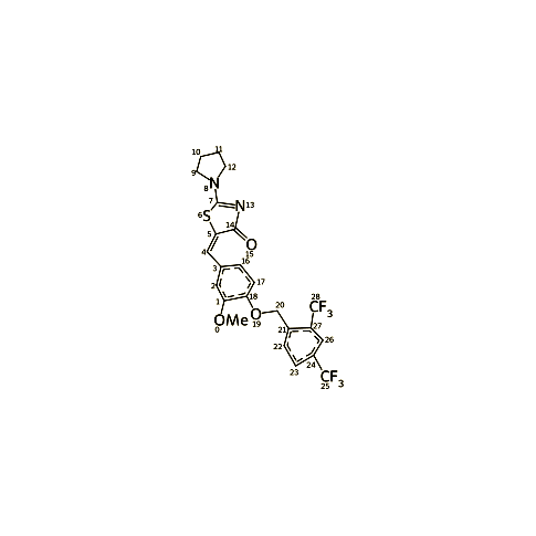 COc1cc(C=C2SC(N3CCCC3)=NC2=O)ccc1OCc1ccc(C(F)(F)F)cc1C(F)(F)F